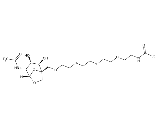 CCC(=O)NCCOCCOCCOCCOC[C@@]12CO[C@@H](O1)[C@H](NC(=O)C(F)(F)F)[C@@H](O)[C@H]2O